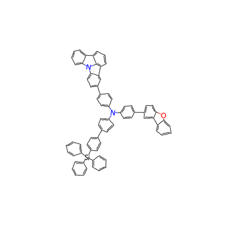 c1ccc([Si](c2ccccc2)(c2ccccc2)c2ccc(-c3ccc(N(c4ccc(-c5ccc6oc7ccccc7c6c5)cc4)c4ccc(-c5ccc6c(c5)c5cccc7c8ccccc8n6c75)cc4)cc3)cc2)cc1